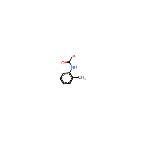 Cc1c[c]ccc1NC(=O)C(C)C